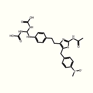 CC(=O)Nc1nc(CCc2ccc(NC(NC(=O)O)NC(=O)O)cc2)c(Cc2ccc([S+](C)[O-])cc2)s1